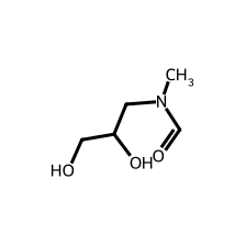 CN(C=O)CC(O)CO